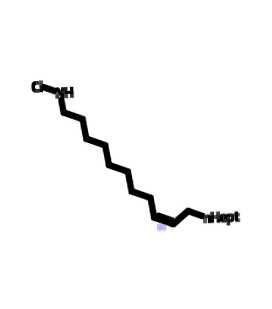 CCCCCCCC/C=C\CCCCCCCCNCl